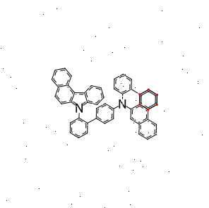 c1ccc(-c2ccccc2N(c2ccc(-c3ccccc3-n3c4ccccc4c4c5ccccc5ccc43)cc2)c2cc3ccccc3c3ccccc23)cc1